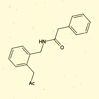 CC(=O)Cc1ccccc1CNC(=O)Cc1ccccc1